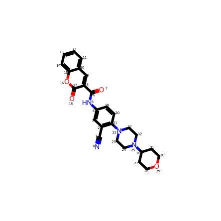 N#Cc1cc(NC(=O)c2cc3ccccc3oc2=O)ccc1N1CCN(C2CCOCC2)CC1